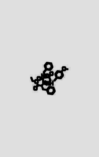 CCOC(=O)[C@H](Cc1ccccc1)N(N[C@@H](Cc1ccc(OC)cc1)C(=O)O)C(=O)OCc1ccccc1